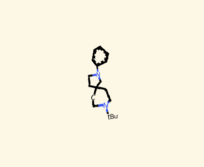 CC(C)(C)N1CCC2(CCN(c3ccccc3)C2)CC1